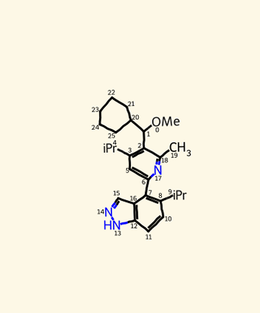 COC(c1c(C(C)C)cc(-c2c(C(C)C)ccc3[nH]ncc23)nc1C)C1CCCCC1